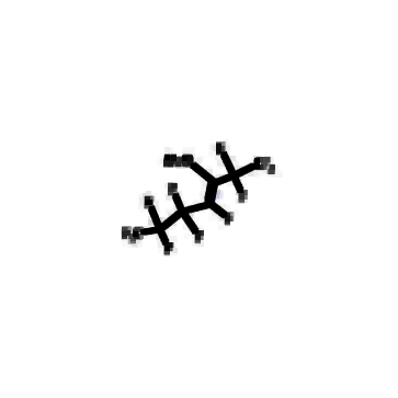 CO/C(=C(/F)C(F)(F)C(F)(F)C(F)(F)F)C(F)(F)C(F)(F)F